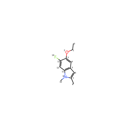 CCOc1cc2cc(C)n(C)c2cc1F